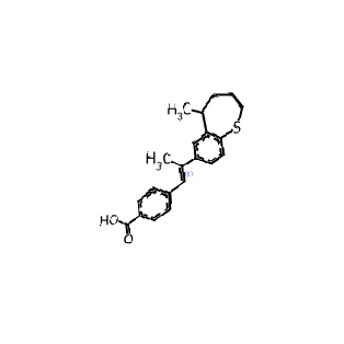 C/C(=C\c1ccc(C(=O)O)cc1)c1ccc2c(c1)C(C)CCCS2